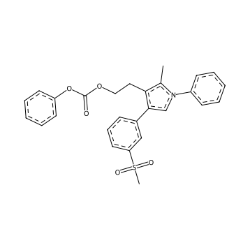 Cc1c(CCOC(=O)Oc2ccccc2)c(-c2cccc(S(C)(=O)=O)c2)cn1-c1ccccc1